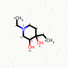 CCN1CCC(O)(CC)C(O)C1